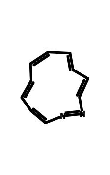 C1=C\C=C\C=C\N=N\C=C/C=C/1